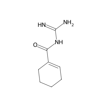 N=C(N)NC(=O)C1=CCCCC1